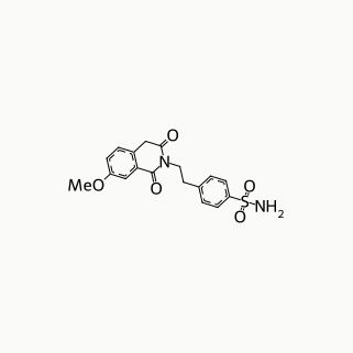 COc1ccc2c(c1)C(=O)N(CCc1ccc(S(N)(=O)=O)cc1)C(=O)C2